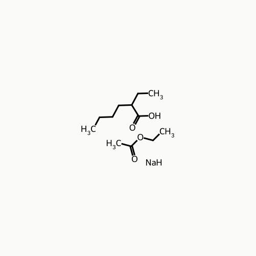 CCCCC(CC)C(=O)O.CCOC(C)=O.[NaH]